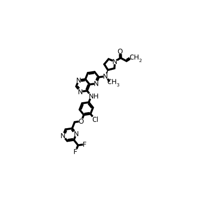 C=CC(=O)N1CC[C@H](N(C)c2ccc3ncnc(Nc4ccc(OCc5cncc(C(F)F)n5)c(Cl)c4)c3n2)C1